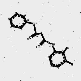 Cc1cccc(NC(=O)CC(=O)Oc2ccccc2)c1C